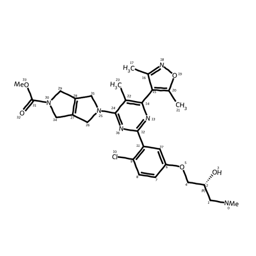 CNC[C@@H](O)COc1ccc(Cl)c(-c2nc(-c3c(C)noc3C)c(C)c(N3CC4=C(CN(C(=O)OC)C4)C3)n2)c1